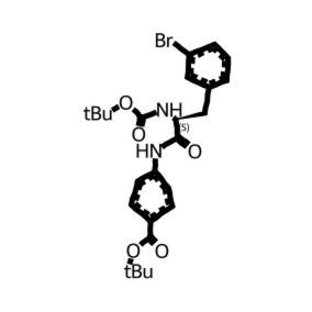 CC(C)(C)OC(=O)N[C@@H](Cc1cccc(Br)c1)C(=O)Nc1ccc(C(=O)OC(C)(C)C)cc1